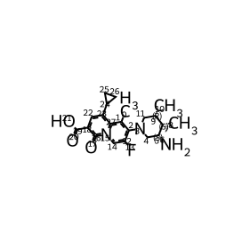 Cc1c(N2C[C@@H](N)[C@@H](C)[C@@H](C)C2)c(F)cn2c(=O)c(C(=O)O)cc(C3CC3)c12